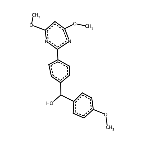 COc1ccc(C(O)c2ccc(-c3nc(OC)cc(OC)n3)cc2)cc1